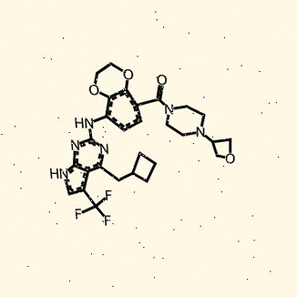 O=C(c1ccc(Nc2nc(CC3CCC3)c3c(C(F)(F)F)c[nH]c3n2)c2c1OCCO2)N1CCN(C2COC2)CC1